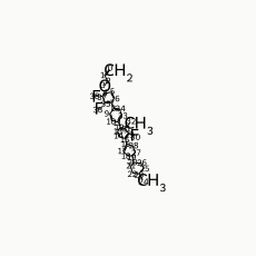 C=CCOc1ccc(-c2ccc(-c3ccc(C4=CCC(C5CCC(C)CC5)CC4)c(F)c3C)cc2)c(F)c1F